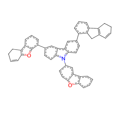 C1=CC2=C(CC1)c1cccc(-c3ccc4c(c3)c3cc(-c5cccc6c7c(oc56)C=CCC7)ccc3n4-c3ccc4oc5ccccc5c4c3)c1C2